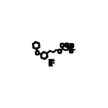 O=C(CP(=O)([O-])[O-])OCCCc1cccc(Oc2ccccc2)c1.[K+].[K+]